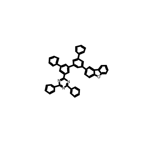 c1ccc(-c2cc(-c3cc(-c4ccccc4)cc(-c4nc(-c5ccccc5)nc(-c5ccccc5)n4)c3)cc(-c3ccc4oc5ccccc5c4c3)c2)cc1